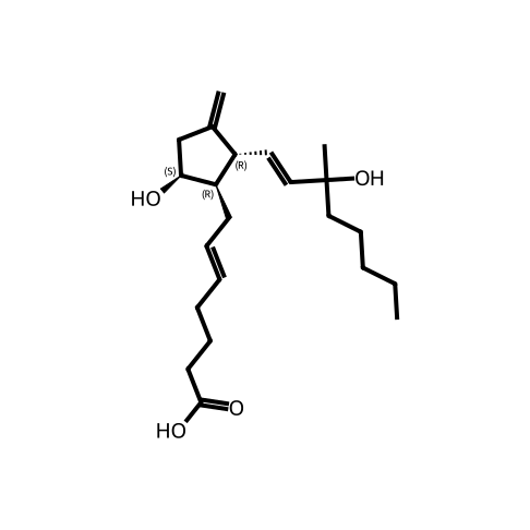 C=C1C[C@H](O)[C@H](CC=CCCCC(=O)O)[C@H]1C=CC(C)(O)CCCCC